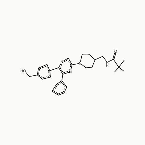 CC(C)(C)C(=O)NCC1CCN(c2cnc(-c3ccc(CO)cc3)c(-c3ccccc3)n2)CC1